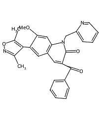 COc1cc2c(cc1-c1c(C)noc1C)cc(C(=O)c1ccccc1)c(=O)n2Cc1ccccn1